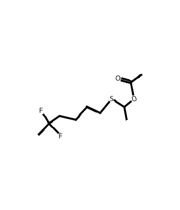 CC(=O)OC(C)SCCCCC(C)(F)F